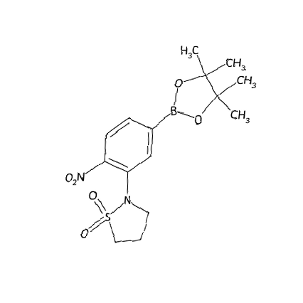 CC1(C)OB(c2ccc([N+](=O)[O-])c(N3CCCS3(=O)=O)c2)OC1(C)C